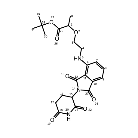 CC(OCCNc1cccc2c1C(=O)N(C1CCC(=O)NC1=O)C2=O)C(=O)OC(C)(C)C